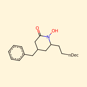 CCCCCCCCCCCCC1CC(Cc2ccccc2)CC(=O)N1O